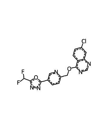 FC(F)c1nnc(-c2ccc(COc3ncnc4cc(Cl)ccc34)nc2)o1